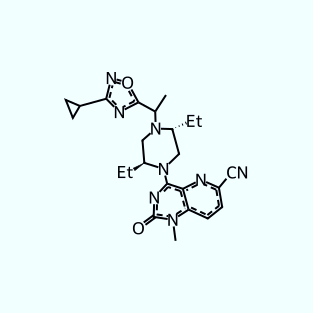 CC[C@H]1CN(C(C)c2nc(C3CC3)no2)[C@H](CC)CN1c1nc(=O)n(C)c2ccc(C#N)nc12